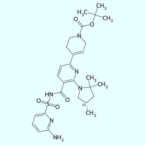 C[C@@H]1CN(c2nc(C3=CCN(C(=O)OC(C)(C)C)CC3)ccc2C(=O)NS(=O)(=O)c2cccc(N)n2)C(C)(C)C1